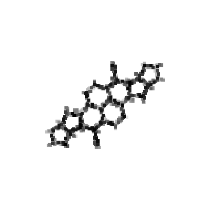 O=c1c2ccc3c4c(ccc(c24)c2nc4cscc4n12)c(=O)n1c2cscc2nc31